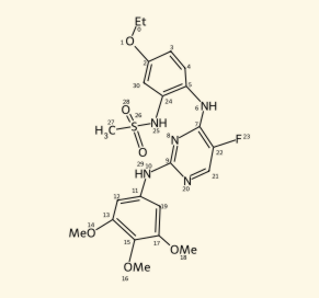 CCOc1ccc(Nc2nc(Nc3cc(OC)c(OC)c(OC)c3)ncc2F)c(NS(C)(=O)=O)c1